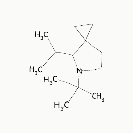 CC(C)C1N(C(C)(C)C)CCC12CC2